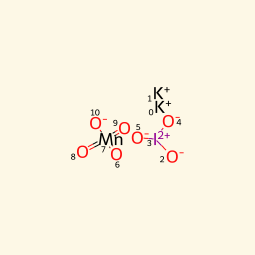 [K+].[K+].[O-][I+2]([O-])[O-].[O]=[Mn](=[O])(=[O])[O-]